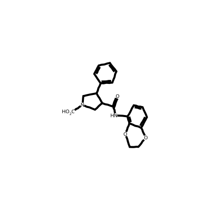 O=C(Nc1cccc2c1OCCO2)C1CN(C(=O)O)CC1c1ccccc1